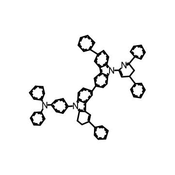 C1=C(c2ccccc2)CCc2c1c1cc(-c3ccc4c(c3)c3cc(-c5ccccc5)ccc3n4C3=CC(c4ccccc4)CC(c4ccccc4)=N3)ccc1n2-c1ccc(N(c2ccccc2)c2ccccc2)cc1